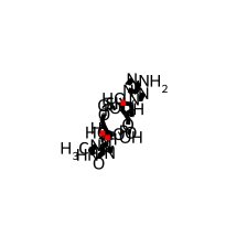 Cc1nc2c(ncn2[C@@H]2S[C@@H]3CO[P@](=O)(S)O[C@H]4[C@@H](O)[C@H](n5cnc6c(N)ncnc65)[C@H]5C[C@]54COP(=O)(O)O[C@@H]2[C@@H]3O)c(=O)[nH]1